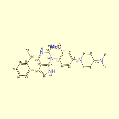 COc1cc(N2CCC(N(C)C)CC2)ccc1N1c2[nH]ccc2C(C(C)c2ccccc2)=NC1N